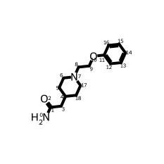 NC(=O)CC1CCN(CCOc2ccccc2)CC1